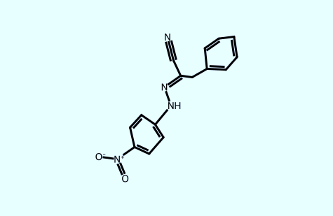 N#C/C(Cc1ccccc1)=N/Nc1ccc([N+](=O)[O-])cc1